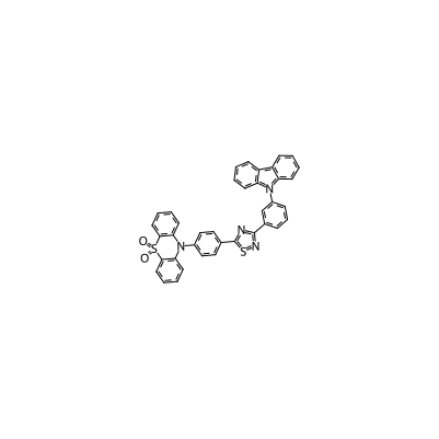 O=S1(=O)c2ccccc2N(c2ccc(-c3nc(-c4cccc(-n5c6ccccc6c6ccccc65)c4)ns3)cc2)c2ccccc21